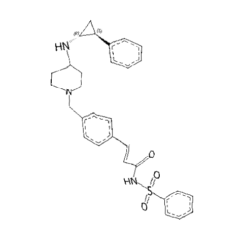 O=C(C=Cc1ccc(CN2CCC(N[C@@H]3C[C@H]3c3ccccc3)CC2)cc1)NS(=O)(=O)c1ccccc1